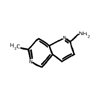 Cc1cc2nc(N)ccc2cn1